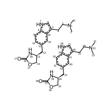 CN(C)CCc1c[nH]c2ccc(C[C@H]3COC(=O)N3)cc12.CN(C)CCc1c[nH]c2ccc(C[C@H]3COC(=O)N3)cc12